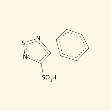 O=S(=O)(O)c1cnsn1.c1ccccc1